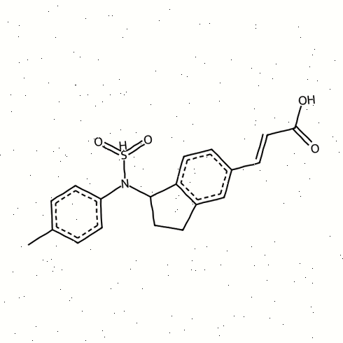 Cc1ccc(N(C2CCc3cc(/C=C/C(=O)O)ccc32)[SH](=O)=O)cc1